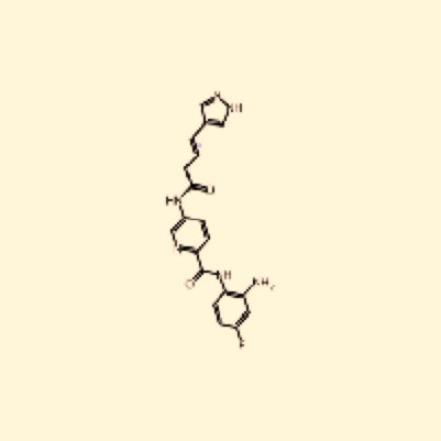 Nc1cc(F)ccc1NC(=O)c1ccc(NC(=O)C/C=C/c2cn[nH]c2)cn1